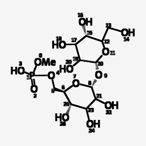 COP(=O)(O)OC[C@H]1O[C@H](O[C@H]2OC(CO)[C@@H](O)C(O)C2O)C(O)C(O)[C@@H]1O